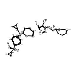 O=c1c(Cl)c(NC[C@@]2(F)CCCOC2)cnn1[C@H]1CC[C@H](N(c2ccc(S(=O)(=O)C3CC3)cc2)C2CC2)CC1